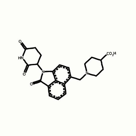 O=C1CCC(N2C(=O)c3cccc4c(CN5CCC(C(=O)O)CC5)ccc2c34)C(=O)N1